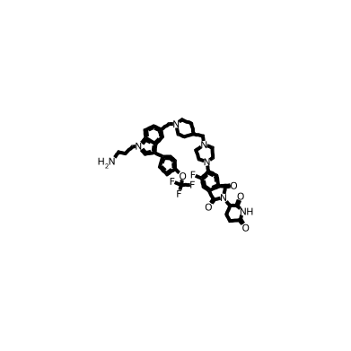 NCCCn1cc(-c2ccc(OC(F)(F)F)cc2)c2cc(CN3CCC(CN4CCN(c5cc6c(cc5F)C(=O)N(C5CCC(=O)NC5=O)C6=O)CC4)CC3)ccc21